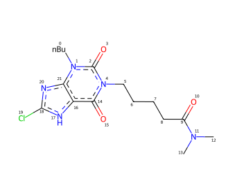 CCCCn1c(=O)n(CCCCC(=O)N(C)C)c(=O)c2[nH]c(Cl)nc21